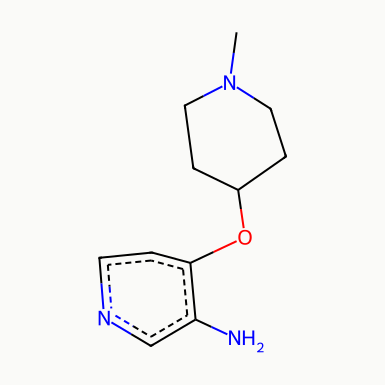 CN1CCC(Oc2ccncc2N)CC1